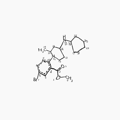 COC(=O)c1cc(Br)cnc1N1CCC(NC2CCCCC2)CC1C